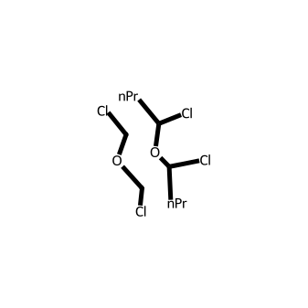 CCCC(Cl)OC(Cl)CCC.ClCOCCl